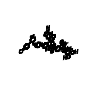 CC1(C)CCC(CN2CCN(c3ccc(C(=O)NS(=O)(=O)c4ccc(NCC5CC(O)C(O)C(C)(C)O5)c([N+](=O)[O-])c4)c(N4CCOc5nc6[nH]ccc6cc54)c3)CC2)=C(c2ccc(Cl)cc2)C1